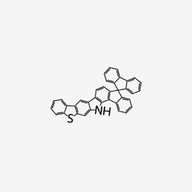 c1ccc2c(c1)-c1ccccc1C21c2ccccc2-c2c1ccc1c2[nH]c2cc3sc4ccccc4c3cc21